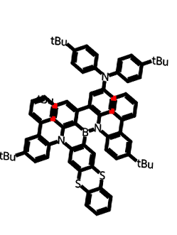 CC(C)(C)c1ccc(N(c2ccc(C(C)(C)C)cc2)c2ccc3c(c2)-c2cc(C(C)(C)C)cc4c2B(c2cc5c(cc2N4c2ccc(C(C)(C)C)cc2-c2ccccc2)Sc2ccccc2S5)N3c2ccc(C(C)(C)C)cc2-c2ccccc2)cc1